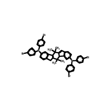 CCc1ccc(N(c2ccc(Br)cc2)c2ccc3c(c2)C2=C(C3)C(C)(C)C3C(=Cc4ccc(N(c5ccc(Br)cc5)c5ccc(CC)cc5)cc43)C2(C)C)cc1